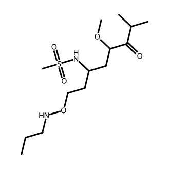 [CH2]CCNOCCC(CC(OC)C(=O)C(C)C)NS(C)(=O)=O